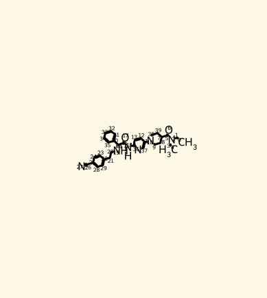 CCN(CC)C(=O)C1CCN(c2ccc(NC(=O)[C@@H](NCCc3ccc(C#N)cc3)c3ccccc3)nc2)CC1